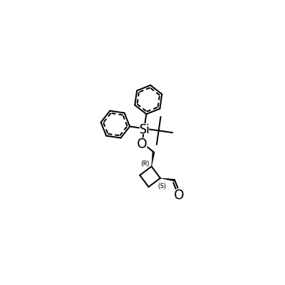 CC(C)(C)[Si](OC[C@@H]1CC[C@@H]1C=O)(c1ccccc1)c1ccccc1